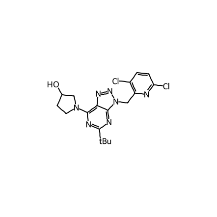 CC(C)(C)c1nc(N2CCC(O)C2)c2nnn(Cc3nc(Cl)ccc3Cl)c2n1